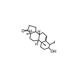 C[C@]12CCC(O)C(I)C1=CC[C@@H]1[C@H]2CC[C@]2(C)C(=O)CC[C@@H]12